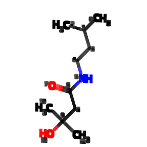 CC(C)CCNC(=O)CC(C)(C)O